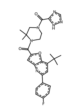 CC(C)(C)c1cc(-c2ccc(F)cc2)nc2cc(C(=O)N3CCN(C(=O)c4ncn[nH]4)CC3(C)C)oc12